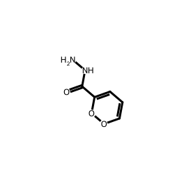 NNC(=O)C1=CC=COO1